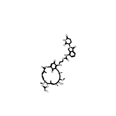 COC1C[C@H](C)CC2=C(NCCOC(=O)Nc3cccc4c3CN(C3CCC(=O)NC3=O)C4=O)C(=O)C=C(NC(=O)/C(C)=C/C=C\[C@H](OC)[C@@H](OC(N)=O)/C(C)=C/[C@H](C)[C@@H]1O)C2=O